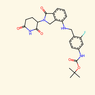 CC(C)(C)OC(=O)Nc1ccc(CNc2cccc3c2CN(C2CCC(=O)NC2=O)C3=O)c(F)c1